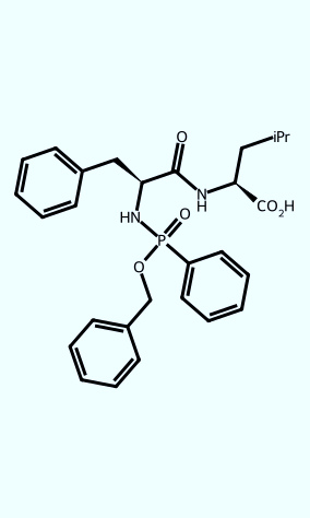 CC(C)C[C@H](NC(=O)[C@H](Cc1ccccc1)NP(=O)(OCc1ccccc1)c1ccccc1)C(=O)O